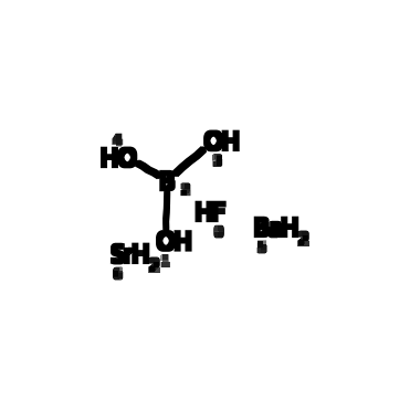 F.OB(O)O.[BaH2].[SrH2]